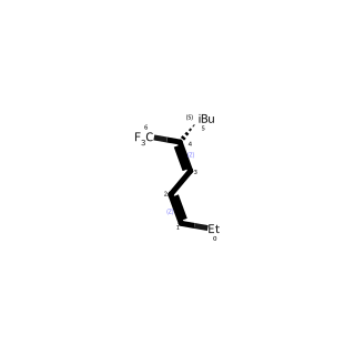 CC/C=C\C=C(\[C@@H](C)CC)C(F)(F)F